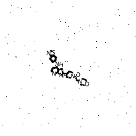 O=C(CN1CCOCC1)N1CC=C(C2Cc3c(Nc4ccc5ncsc5c4)ccnc3N2)CC1